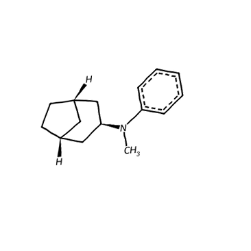 CN(c1ccccc1)[C@H]1C[C@@H]2CC[C@@H](C2)C1